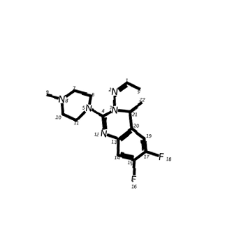 C/C=N\N1C(N2CCN(C)CC2)=Nc2cc(F)c(F)cc2C1C